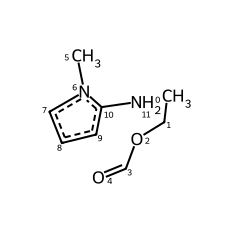 CCOC=O.Cn1cccc1N